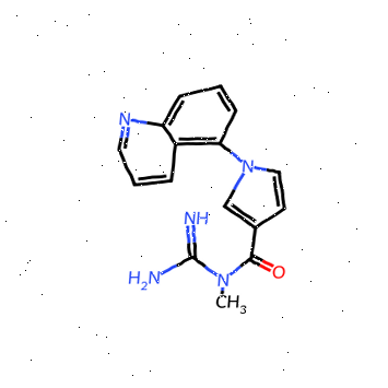 CN(C(=N)N)C(=O)c1ccn(-c2cccc3ncccc23)c1